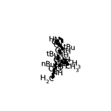 C=CCNC(=O)C(=O)C(CCCC)NC(=O)[C@@H]1[C@@H]2[C@H](CN1C(=O)[C@@H](NC(=O)NC(CN1CCCNS1(=O)=O)C(C)(C)C)C(C)(C)C)C2(C)C